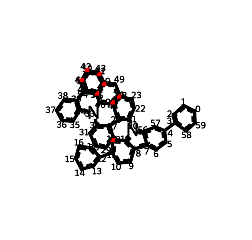 c1ccc(-c2ccc3c4ccc(-c5ccccc5)cc4n(-c4ccccc4-c4ccccc4N(c4ccccc4-c4ccccc4)c4cccc5ccccc45)c3c2)cc1